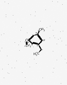 C=C.CCc1cccc(C)c1